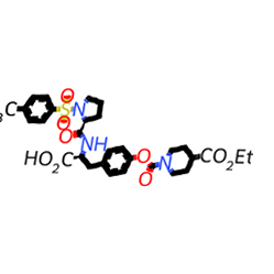 CCOC(=O)C1CCN(C(=O)Oc2ccc(C[C@H](NC(=O)[C@@H]3CCCN3S(=O)(=O)c3ccc(C)cc3)C(=O)O)cc2)CC1